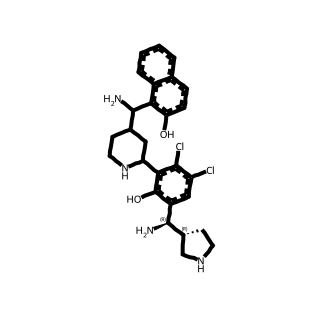 NC(c1c(O)ccc2ccccc12)C1CCNC(c2c(O)c([C@H](N)[C@@H]3CCNC3)cc(Cl)c2Cl)C1